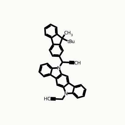 C#CCn1c2ccccc2c2cc3c(cc21)c1ccccc1n3C(C#C)c1ccc2c(c1)C(C)(C(C)(C)C)c1ccccc1-2